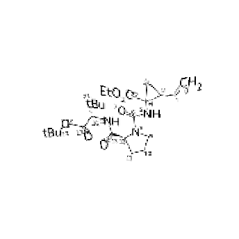 C=CC1CC1(NC(=O)N1CCC[C@H]1C(=O)N[C@H](C(=O)OC(C)(C)C)C(C)(C)C)C(=O)OCC